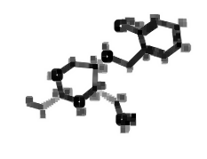 CC[C@@H]1OC[C@H](OCc2ccccc2Cl)[C@H](CO)O1